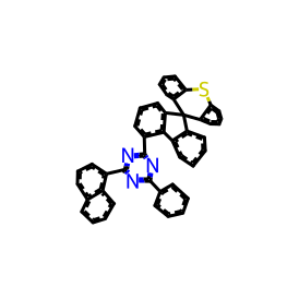 c1ccc(-c2nc(-c3cccc4c3-c3ccccc3C43c4ccccc4Sc4ccccc43)nc(-c3cccc4ccccc34)n2)cc1